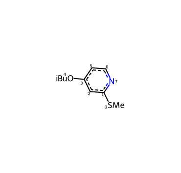 CSc1cc(OCC(C)C)ccn1